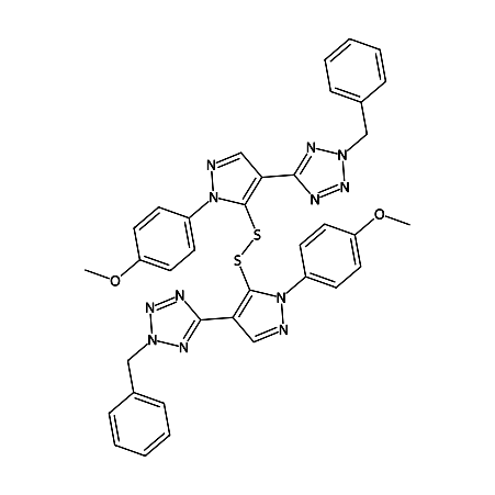 COc1ccc(-n2ncc(-c3nnn(Cc4ccccc4)n3)c2SSc2c(-c3nnn(Cc4ccccc4)n3)cnn2-c2ccc(OC)cc2)cc1